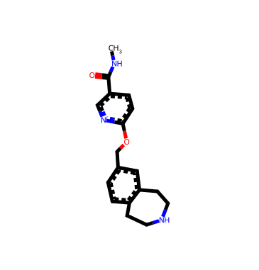 CNC(=O)c1ccc(OCc2ccc3c(c2)CCNCC3)nc1